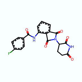 O=C1CCC(N2C(=O)c3cccc(NC(=O)c4ccc(F)cc4)c3C2=O)C(=O)N1